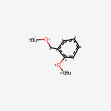 CC(C)(C)OCc1ccccc1OC(C)(C)C